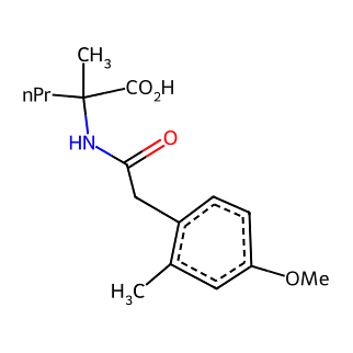 CCCC(C)(NC(=O)Cc1ccc(OC)cc1C)C(=O)O